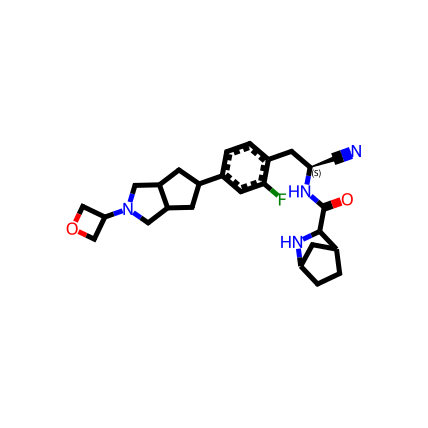 N#C[C@H](Cc1ccc(C2CC3CN(C4COC4)CC3C2)cc1F)NC(=O)C1NC2CCC1C2